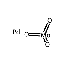 [O]=[Mo](=[O])=[O].[Pd]